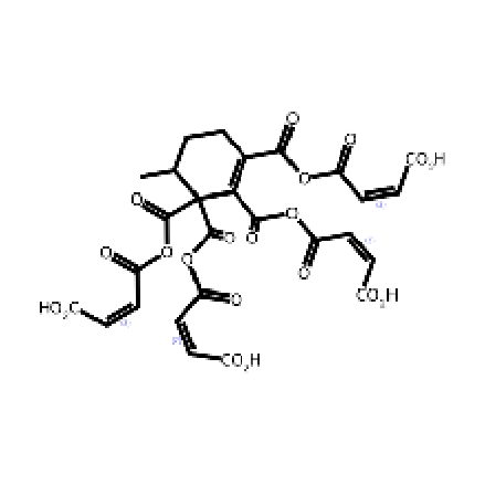 CC1CCC(C(=O)OC(=O)/C=C\C(=O)O)=C(C(=O)OC(=O)/C=C\C(=O)O)C1(C(=O)OC(=O)/C=C\C(=O)O)C(=O)OC(=O)/C=C\C(=O)O